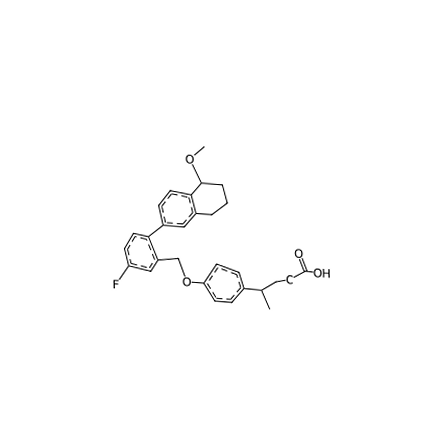 COC1CCCc2cc(-c3ccc(F)cc3COc3ccc(C(C)CCC(=O)O)cc3)ccc21